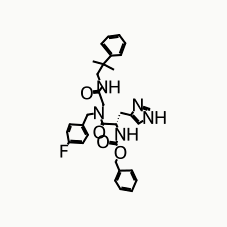 CC(C)(CNC(=O)CN(Cc1ccc(F)cc1)C(=O)[C@H](Cc1c[nH]cn1)NC(=O)OCc1ccccc1)c1ccccc1